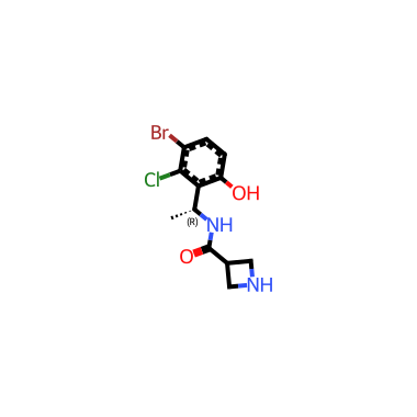 C[C@@H](NC(=O)C1CNC1)c1c(O)ccc(Br)c1Cl